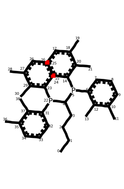 CCCCC(P(c1cccc(C)c1C)c1cccc(C)c1C)P(c1cccc(C)c1C)c1cccc(C)c1C